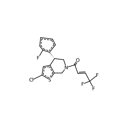 O=C(/C=C/C(F)(F)F)N1Cc2sc(Cl)cc2[C@H](c2ccccc2F)C1